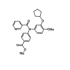 COc1ccc(N(C(=O)c2cccnc2)c2ccc(C(=O)OC(C)(C)C)cc2)cc1OC1CCCC1